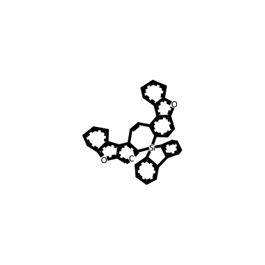 C1=Cc2c(ccc3oc4ccccc4c23)[Si]2(c3ccccc3-c3ccccc32)c2ccc3oc4ccccc4c3c21